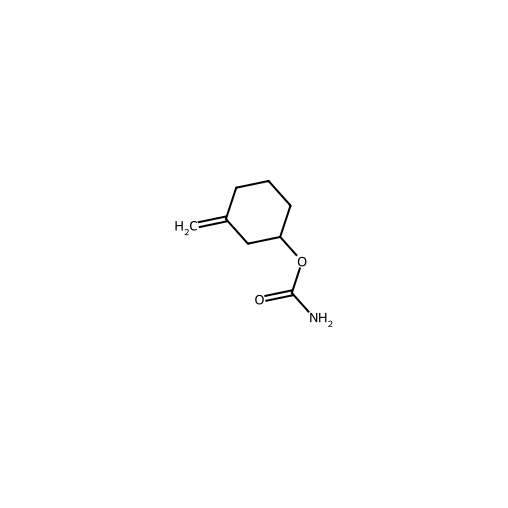 C=C1CCCC(OC(N)=O)C1